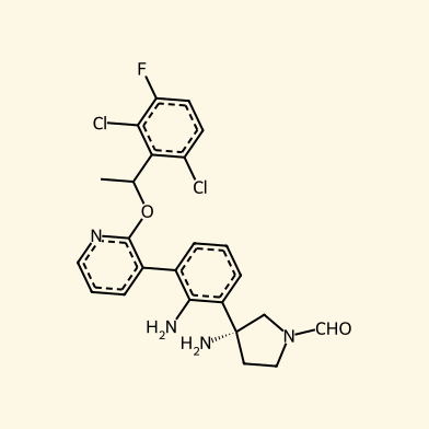 CC(Oc1ncccc1-c1cccc([C@]2(N)CCN(C=O)C2)c1N)c1c(Cl)ccc(F)c1Cl